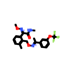 CNC(=O)/C(=N/OC)c1cccc(C)c1CO/N=C(\C)c1cccc(OC(F)(F)F)c1